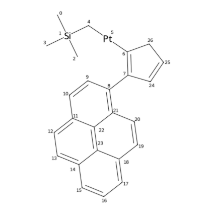 C[Si](C)(C)[CH2][Pt][C]1=C(c2ccc3ccc4cccc5ccc2c3c45)C=CC1